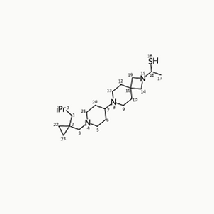 CC(C)CC1(CN2CCC(N3CCC4(CC3)CN(C(C)S)C4)CC2)CC1